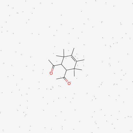 CC(=O)C1C(C(C)=O)C(C)(C)C(C)=C(C)C1(C)C